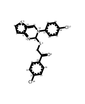 O=C(CSC1N=c2ccsc2=CN1c1ccc(Cl)cc1)c1ccc(Cl)cc1